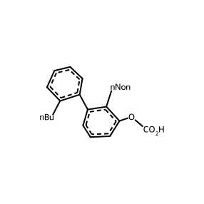 CCCCCCCCCc1c(OC(=O)O)cccc1-c1ccccc1CCCC